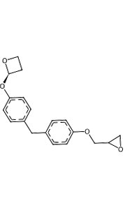 c1cc(OCC2CO2)ccc1Cc1ccc(O[C@@H]2CCO2)cc1